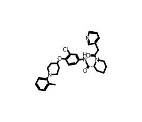 Cc1ccccc1N1CCC(Oc2ccc(NC(=O)[C@H]3CCCCN3C(=O)Cc3cccnc3)cc2Cl)CC1